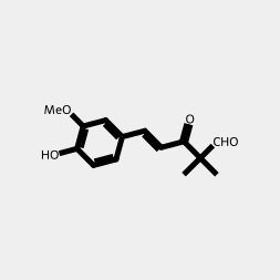 COc1cc(C=CC(=O)C(C)(C)C=O)ccc1O